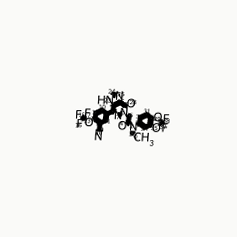 CCN(C(=O)Cn1nc(-c2ccc(OC(F)(F)F)c(C#N)c2)c2[nH]cnc2c1=O)c1ccc2c(c1)OC(F)(F)O2